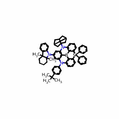 CC(C)(C)c1ccc(N2c3cc(N4c5ccccc5C5(C)CCCCC45C)cc4c3B3c5c2cccc5[Si](c2ccccc2)(c2ccccc2)c2cccc(c23)N4C23CC4CC2CC4C3)cc1